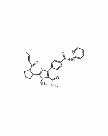 CC=CC(=O)N1CCCC1c1nc(-c2ccc(C(=O)Nc3ccccn3)cc2)c(C(N)=O)n1N